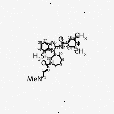 CNC/C=C/C(=O)N1CCCC[C@@H](n2c(NC(=O)c3cc(C)nc(C)c3)nc3cccc([SiH3])c32)C1